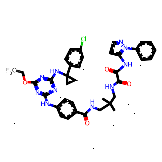 CC(C)(CNC(=O)C(=O)Nc1ccnn1-c1ccccc1)CNC(=O)c1ccc(Nc2nc(NC3(c4ccc(Cl)cc4)CC3)nc(OCC(F)(F)F)n2)cc1